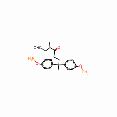 CC(CC=O)C(=O)CCC(C)(c1ccc(OP)cc1)c1ccc(OP)cc1